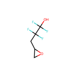 OC(F)(F)C(F)(F)CC1CO1